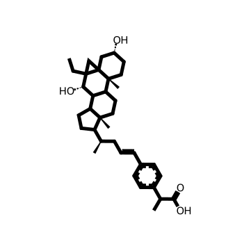 CCC12CC13C[C@H](O)CC[C@]3(C)C1CC[C@@]3(C)C(CCC3[C@H](C)C/C=C/c3ccc(C(C)C(=O)O)cc3)C1[C@@H]2O